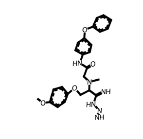 COc1ccc(OCC(C(=N)NN=N)N(C)CC(=O)Nc2ccc(Oc3ccccc3)cc2)cc1